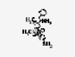 CO[C@H](CN(CC(C)C)S(=O)(=O)c1ccc(N)cc1)[C@@H](N)Cc1ccccc1